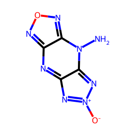 Nn1c2n[n+]([O-])nc-2nc2nonc21